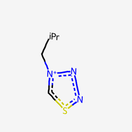 CC(C)C[n+]1csnn1